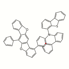 c1ccc(-c2ccccc2N(c2ccc(-c3cccc4oc5c(-c6ccccc6)c6c(cc5c34)oc3ccccc36)cc2)c2cccc3c2sc2ccccc23)cc1